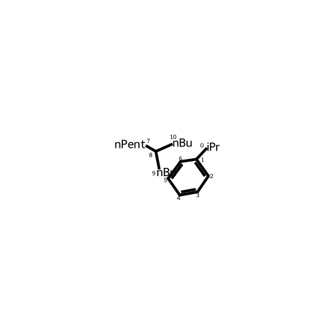 CC(C)c1ccccc1.CCCCCC(CCCC)CCCC